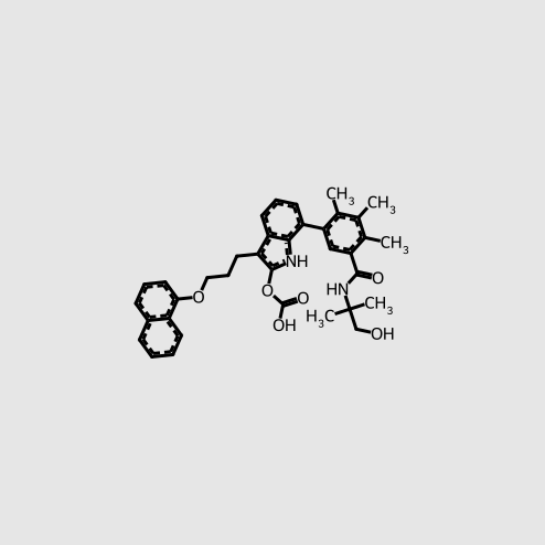 Cc1c(C(=O)NC(C)(C)CO)cc(-c2cccc3c(CCCOc4cccc5ccccc45)c(OC(=O)O)[nH]c23)c(C)c1C